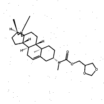 C[C@H]1[C@H]2CC[C@H]3[C@@H]4CC=C5C[C@@H](N(C)C(=O)OCC6COCO6)CC[C@]5(C)[C@H]4CCC23CN1C